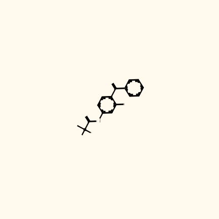 CC(O)(C(=O)Nc1ccc(C(=O)c2ccccc2)c(F)c1)C(F)(F)F